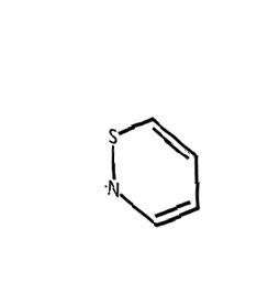 C1=C[N]SC=C1